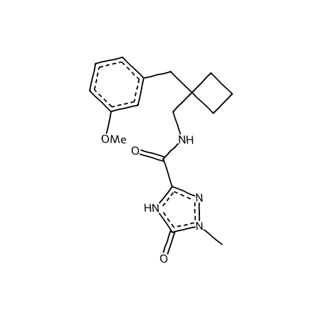 COc1cccc(CC2(CNC(=O)c3nn(C)c(=O)[nH]3)CCC2)c1